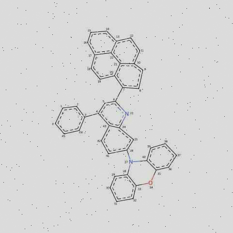 c1ccc(-c2cc(-c3ccc4ccc5cccc6ccc3c4c56)nc3cc(N4c5ccccc5Oc5ccccc54)ccc23)cc1